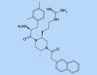 CC(=O)N[C@@H](Cc1ccc(C)cc1C)C(=O)N1C[C@@H](C)N(C(=O)Cc2ccc3ccccc3c2)C[C@@H]1CCCNC(=N)N